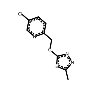 Cc1nnc(OCc2ccc(Cl)cn2)s1